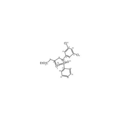 CCOC(=O)CC(=O)CN(c1cc(Cl)cc(Cl)c1)S(=O)(=O)c1ccccc1